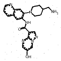 NCC1CCN(c2cc3ncccc3cc2NC(=O)c2cnn3cc(O)cnc23)CC1